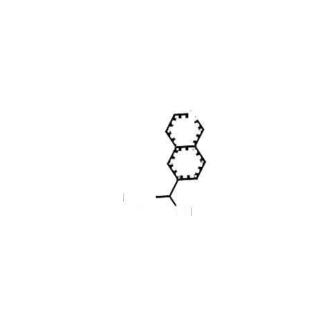 CC(C(=O)O)c1ccc2cnccc2c1